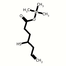 C=CCC(S)CCC(=O)[O][Sn]([CH3])([CH3])[CH3]